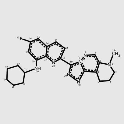 CN1CCCc2c1cnn1c(-c3ccc4cc(F)cc(NC5CCCCC5)c4n3)nnc21